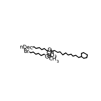 CCCCCCCCCCCCCCCCOC(CCCCCCCCCCC1CCCCC1)O[Si](C)(C)OCCCCCCBr